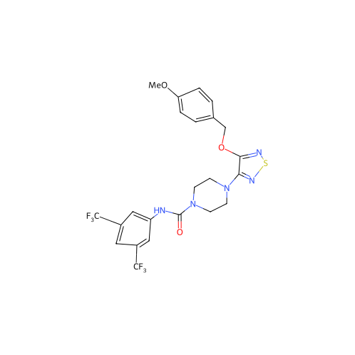 COc1ccc(COc2nsnc2N2CCN(C(=O)Nc3cc(C(F)(F)F)cc(C(F)(F)F)c3)CC2)cc1